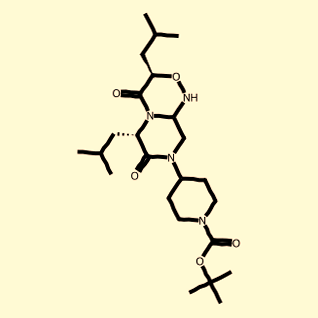 CC(C)C[C@H]1ONC2CN(C3CCN(C(=O)OC(C)(C)C)CC3)C(=O)[C@H](CC(C)C)N2C1=O